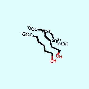 CCCCCCC[CH2][Sn+2][CH2]CCCCCCC.O=C([O-])CCCCCO.O=C([O-])CCCCCO